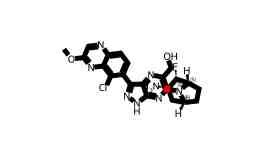 COc1cnc2ccc(-c3n[nH]c4nc(N5[C@@H]6CC[C@H]5[C@@H](F)[C@@H](N)C6)c(CO)nc34)c(Cl)c2n1